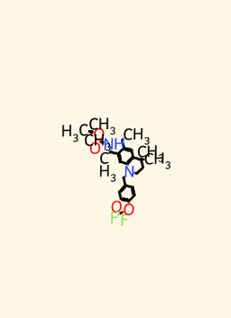 CCc1cc2c(cc1C(C)NC(=O)OC(C)(C)C)N(Cc1ccc3c(c1)OC(F)(F)O3)CCC2(C)C